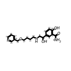 NC(=O)c1cc(C(O)CNCCCCOCc2cccnc2)ccc1O